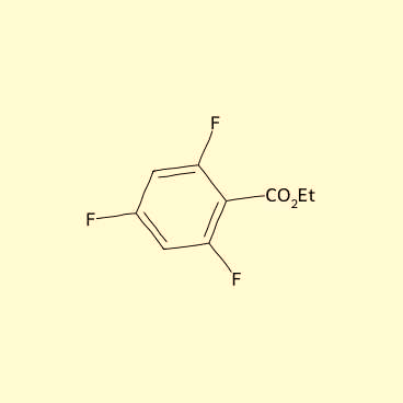 CCOC(=O)c1c(F)cc(F)cc1F